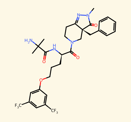 CN1N=C2CCN(C(=O)[C@@H](CCCOc3cc(C(F)(F)F)cc(C(F)(F)F)c3)NC(=O)C(C)(C)N)C[C@@]2(Cc2ccccc2)C1=O